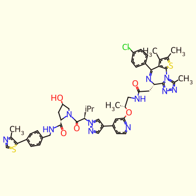 Cc1ncsc1-c1ccc(CNC(=O)[C@@H]2C[C@@H](O)CN2C(=O)[C@@H](C(C)C)n2cc(-c3ccnc(O[C@H](C)CNC(=O)C[C@@H]4N=C(c5ccc(Cl)cc5)c5c(sc(C)c5C)-n5c(C)nnc54)c3)cn2)cc1